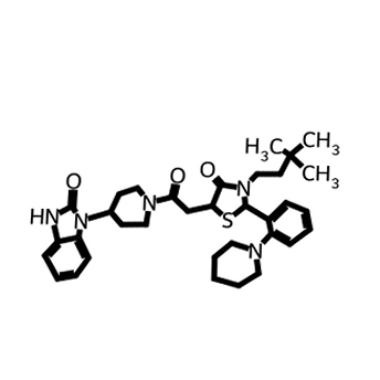 CC(C)(C)CCN1C(=O)C(CC(=O)N2CCC(n3c(=O)[nH]c4ccccc43)CC2)SC1c1ccccc1N1CCCCC1